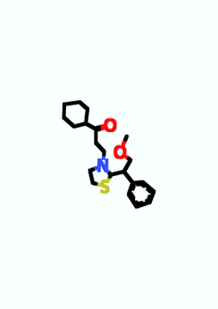 COCC(c1ccccc1)C1SCCN1CCC(=O)C1CCCCC1